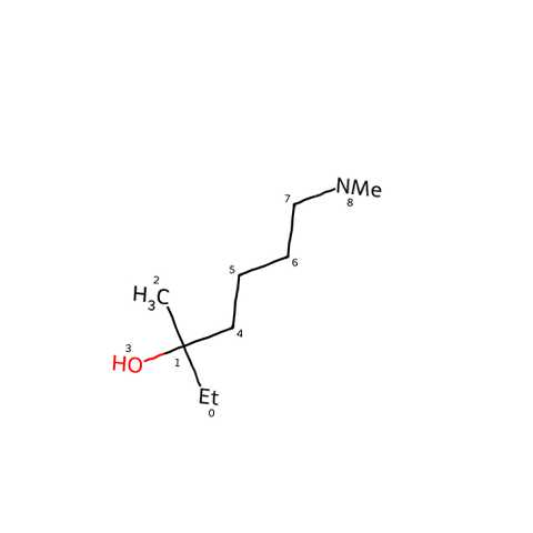 CCC(C)(O)CCCCNC